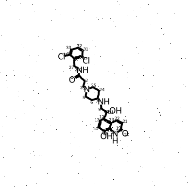 O=C(CCN1CCC(NC[C@@H](O)c2ccc(O)c3[nH]c(=O)ccc23)CC1)NCc1c(Cl)cccc1Cl